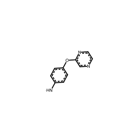 [NH]c1ccc(Oc2cnccn2)cc1